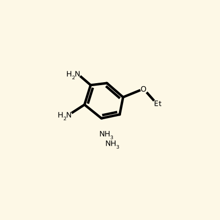 CCOc1ccc(N)c(N)c1.N.N